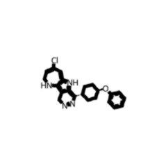 ClC1=CCNc2c3c([nH]c2=C1)=C([C@H]1CC[C@H](Oc2ccccc2)CC1)N=NC3